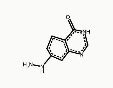 NNc1ccc2c(=O)[nH]cnc2c1